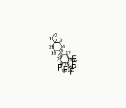 CCC1CCC(c2cc(F)c(C(F)(F)F)c(F)c2)CC1